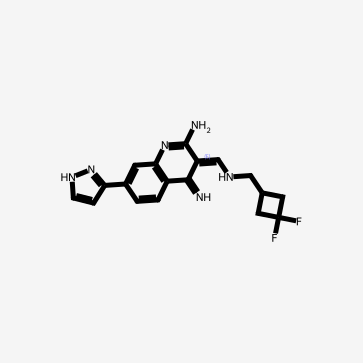 N=C1/C(=C\NCC2CC(F)(F)C2)C(N)=Nc2cc(-c3cc[nH]n3)ccc21